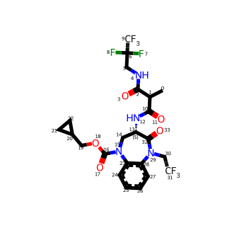 CC(C(=O)NCC(F)(F)C(F)(F)F)C(=O)N[C@H]1CN(C(=O)OCC2CC2)c2ccccc2N(CC(F)(F)F)C1=O